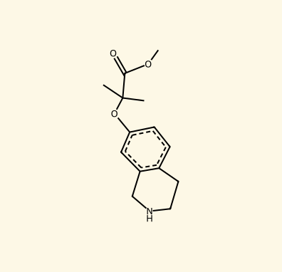 COC(=O)C(C)(C)Oc1ccc2c(c1)CNCC2